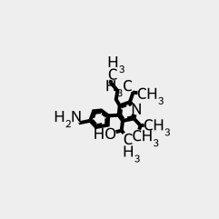 CCCCc1c(C(C)C)nc(C(C)C)c(C(C)O)c1-c1ccc(CN)cc1